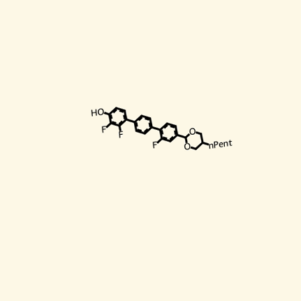 CCCCCC1COC(c2ccc(-c3ccc(-c4ccc(O)c(F)c4F)cc3)c(F)c2)OC1